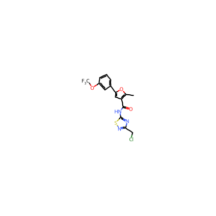 Cc1oc(-c2cccc(OC(F)(F)F)c2)cc1C(=O)Nc1nc(CCl)ns1